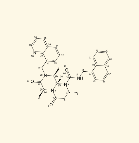 C[C@H]1[C@H]2N(C(=O)CN(C)N2C(=O)NCc2cccc3ccccc23)[C@@H](C)C(=O)N1Cc1cccc2cccnc12